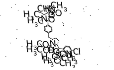 CC(C)C(c1nn(C)c(=O)o1)N(C)C(=O)c1ccc(CC2CC[C@H]([C@H](O[Si](C)(C)C(C)(C)C)c3ccc(Cl)nc3)N2C(=O)OC(C)(C)C)cc1